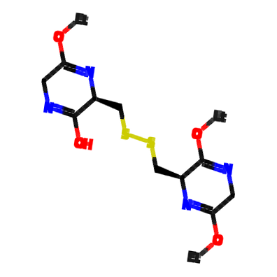 CCOC1=N[C@@H](CSSC[C@@H]2N=C(OCC)CN=C2OCC)C(O)=NC1